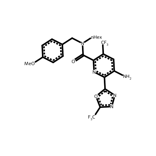 CCCCCCN(Cc1ccc(OC)cc1)C(=O)c1nc(-c2nnc(C(F)(F)F)o2)c(N)cc1C(F)(F)F